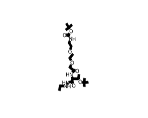 CCNNC(=O)C(NC(=O)COCCOCCNC(=O)OC(C)(C)C)C(C)OC(C)(C)C